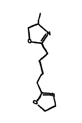 CC1COC(CCCCC2=NCCO2)=N1